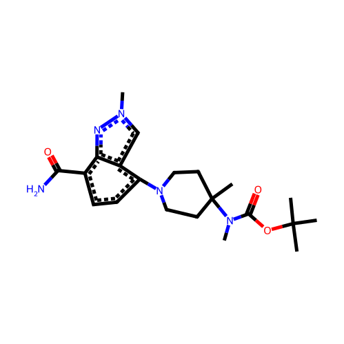 CN(C(=O)OC(C)(C)C)C1(C)CCN(c2ccc(C(N)=O)c3nn(C)cc23)CC1